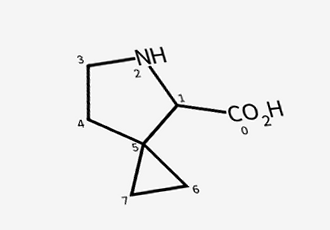 O=C(O)C1NCCC12CC2